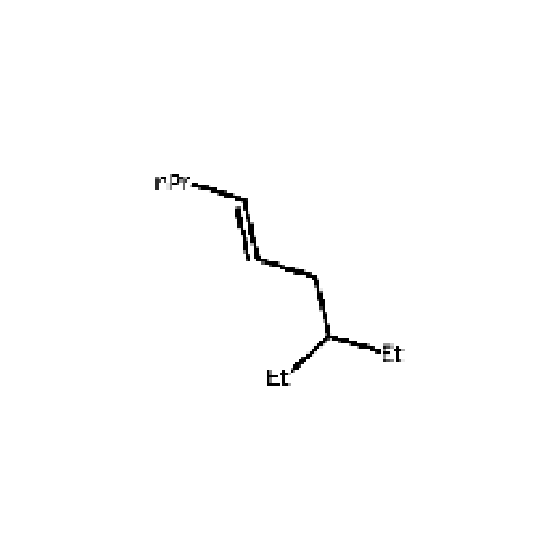 CCCC=CCC(CC)CC